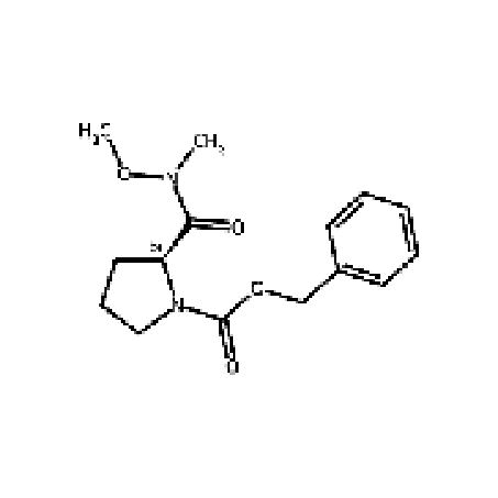 CON(C)C(=O)[C@@H]1CCCN1C(=O)OCc1ccccc1